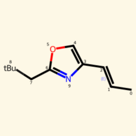 C/C=C/c1coc(CC(C)(C)C)n1